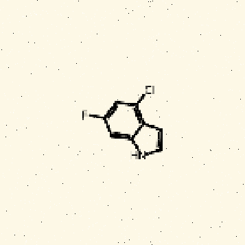 Fc1cc(Cl)c2cc[nH]c2c1